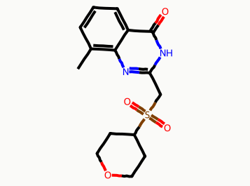 Cc1cccc2c(=O)[nH]c(CS(=O)(=O)C3CCOCC3)nc12